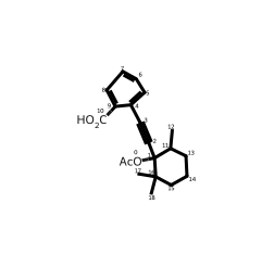 CC(=O)OC1(C#Cc2ccccc2C(=O)O)C(C)CCCC1(C)C